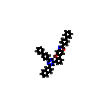 c1ccc(-c2ccc(-c3nc(-c4ccc5ccccc5c4)nc(-c4cccc5c4oc4cc6nc(-c7ccc(-c8ccccc8)cc7)oc6cc45)n3)cc2)cc1